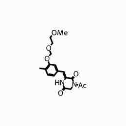 COCCOCOc1cc(C=C2NC(=O)CN(C(C)=O)C2=O)ccc1C